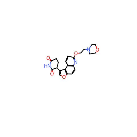 O=C1CC[C@@H](c2coc3ccc4nc(OCCN5CCOCC5)ccc4c23)C(=O)N1